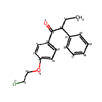 CCC(C(=O)c1ccc(OCCCl)cc1)c1ccccc1